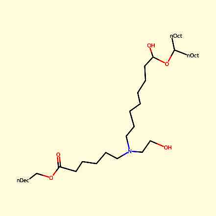 CCCCCCCCCCCOC(=O)CCCCCN(CCO)CCCCCCCC(O)OC(CCCCCCCC)CCCCCCCC